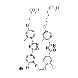 Cc1cc(OCCCC(=O)O)ccc1-c1noc(-c2ccc(OC(C)C)c(Cl)c2)n1.Cc1cc(OCCCCC(=O)O)ccc1-c1noc(-c2ccc(OC(C)C)c(Cl)c2)n1